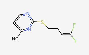 N#Cc1ccnc(SCCC=C(F)F)n1